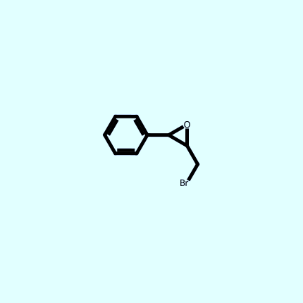 BrCC1OC1c1ccccc1